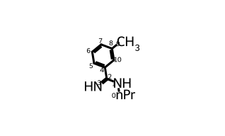 CCCNC(=N)c1cccc(C)c1